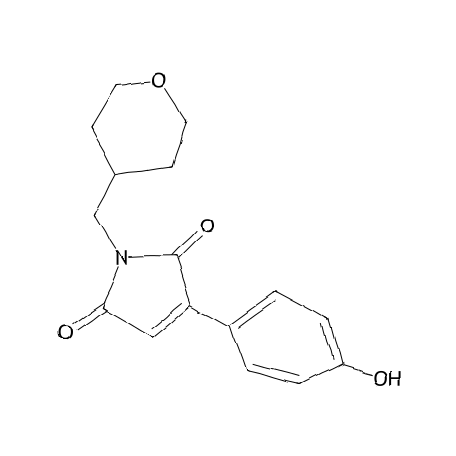 O=C1C=C(c2ccc(O)cc2)C(=O)N1CC1CCOCC1